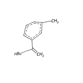 C=C(CCCC)c1cccc(C)c1